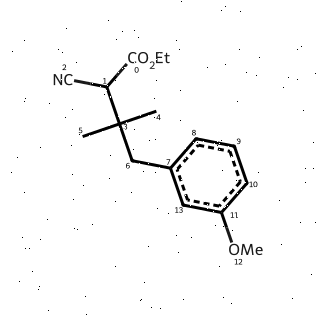 CCOC(=O)C(C#N)C(C)(C)Cc1cccc(OC)c1